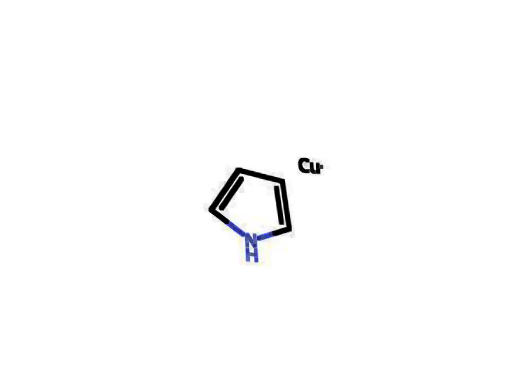 [Cu].c1cc[nH]c1